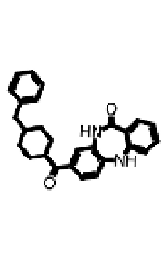 O=C1Nc2cc(C(=O)C3CCC(Cc4ccccc4)CC3)ccc2Nc2ccccc21